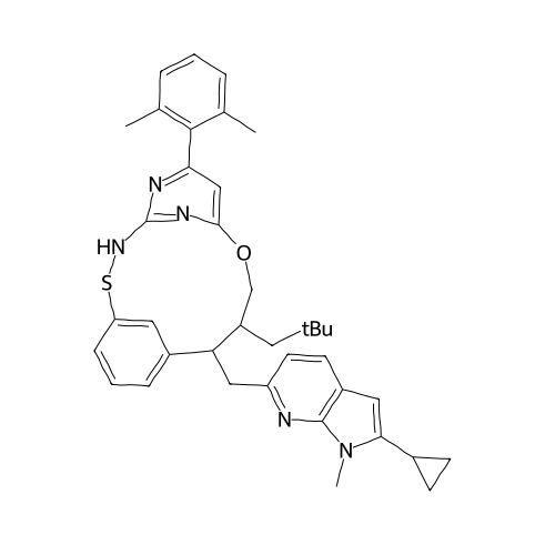 Cc1cccc(C)c1-c1cc2nc(n1)NSc1cccc(c1)C(Cc1ccc3cc(C4CC4)n(C)c3n1)C(CC(C)(C)C)CO2